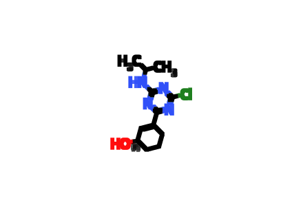 CC(C)Nc1nc(Cl)nc(C2=C[C@H](O)CCC2)n1